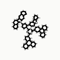 c1ccc2cc3c(cc2c1)c1ccc2ccccc2c1n3-c1ccc(-c2nc(-c3ccc4c5ccccc5c5ccccc5c4c3)nc(-c3ccc4c5ccccc5c5ccccc5c4c3)n2)c(-c2ccc3oc4ccccc4c3c2)c1